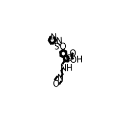 O=CO.c1cnc2nc(Oc3ccc4c(CNCCN5CCOCC5)coc4c3)sc2c1